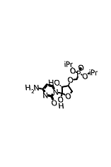 CC(C)OP(=O)(CO[C@H]1COC(O)(n2ccc(N)nc2=O)[C@@H]1O)OC(C)C